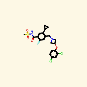 CS(=O)(=O)NC(=O)c1cc(C2CC2)c(CN2CC(Oc3ccc(Cl)cc3Cl)C2)cc1F